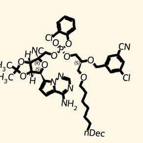 CCCCCCCCCCCCCCCCOC[C@@H](COP(=O)(OC[C@@]1(C#N)O[C@@H](c2ccc3c(N)ncnn23)[C@@H]2OC(C)(C)O[C@@H]21)Oc1ccccc1Cl)OCc1cc(Cl)cc(C#N)c1